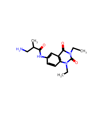 CCn1c(=O)c2cc(NC(=O)C(C)CN)ccc2n(CC)c1=O